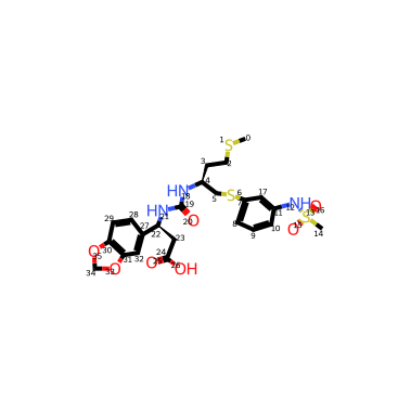 CSCC[C@@H](CSc1cccc(NS(C)(=O)=O)c1)NC(=O)N[C@@H](CC(=O)O)c1ccc2c(c1)OCO2